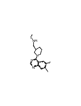 CSNCC1CCCN(c2ncnc3cc(C)c(F)cc23)C1